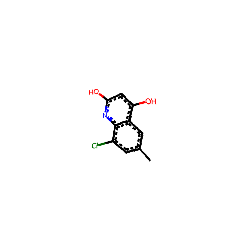 Cc1cc(Cl)c2nc(O)cc(O)c2c1